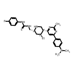 CC[C@H]1C[C@H](CNC(=S)Nc2ccc(F)cc2)NC[C@@H]1c1cc(-c2ccc(N(C)C)cc2)nc(C)n1